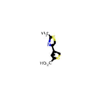 Cc1nc(-c2csc(C(=O)O)c2)cs1